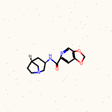 O=C(N[C@@H]1C[C@H]2CCN(C2)C1)c1cc2c(cn1)OCO2